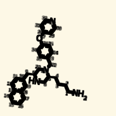 NCCCC[C@H]1CN[C@@H](Cc2ccc3ccccc3c2)CN1Cc1ccc(Oc2ccncc2)cc1